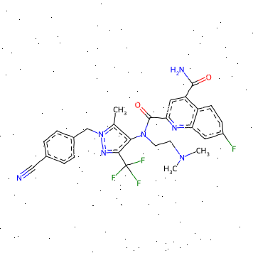 Cc1c(N(CCN(C)C)C(=O)c2cc(C(N)=O)c3ccc(F)cc3n2)c(C(F)(F)F)nn1Cc1ccc(C#N)cc1